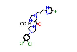 O=C([C@H]1CN(CCCc2ncc(F)cn2)CCN1C(=O)O)N1CCN(c2ccc(Cl)c(Cl)c2)CC1